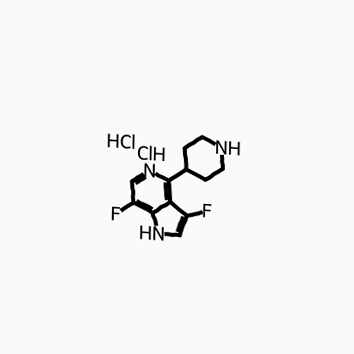 Cl.Cl.Fc1cnc(C2CCNCC2)c2c(F)c[nH]c12